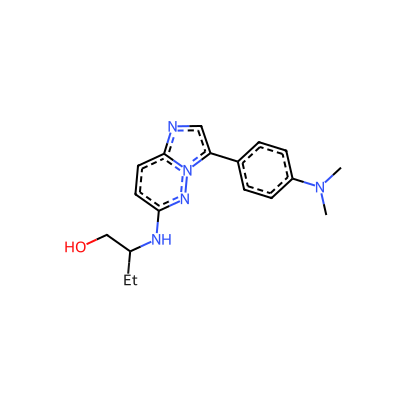 CCC(CO)Nc1ccc2ncc(-c3ccc(N(C)C)cc3)n2n1